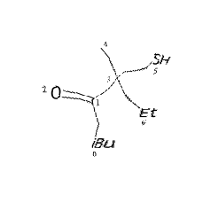 CCC(C)C(=O)C(C)(S)CC